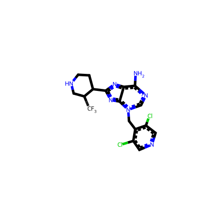 Nc1ncn(Cc2c(Cl)cncc2Cl)c2nc(C3CCNCC3C(F)(F)F)nc1-2